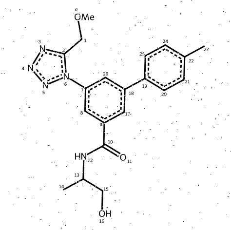 COCc1nnnn1-c1cc(C(=O)NC(C)CO)cc(-c2ccc(C)cc2)c1